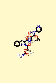 CC(C)C[C@H](OC(N)=O)C(=O)N[C@@H](Cc1ccccc1)C(=O)N[C@@H](CC(C)C)C(O)C(=O)Nc1cccnc1